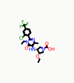 CCO[C@H]1CN(C(=O)O)C[C@H]1Nc1c(C)nc(-c2ccc(C(F)(F)F)cc2Cl)n(CC)c1=O